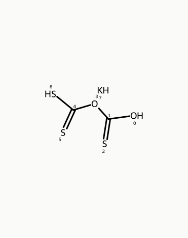 OC(=S)OC(=S)S.[KH]